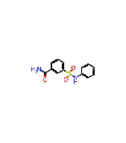 NC(=O)c1cccc(S(=O)(=O)Nc2ccccc2)c1